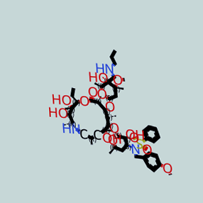 CCCNC[C@]1(O)[C@H](C)O[C@@H](O[C@H]2[C@H](C)[C@@H](O[C@@H]3O[C@H](C)C[C@H](N(Cc4ccc(OC)cc4)S(=O)(=O)c4ccccc4)[C@H]3O)[C@](C)(O)C[C@@H](C)CN[C@H](C)[C@@H](O)[C@](C)(O)[C@@H](CC)OC(=O)[C@@H]2C)C[C@@]1(C)OC